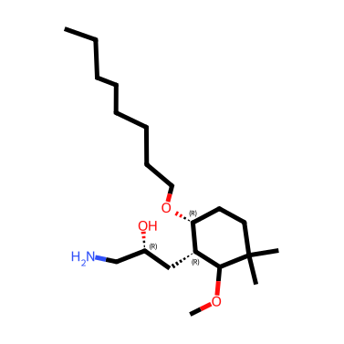 CCCCCCCCO[C@@H]1CCC(C)(C)C(OC)[C@@H]1C[C@@H](O)CN